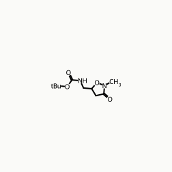 CN1OC(CNC(=O)OC(C)(C)C)CC1=O